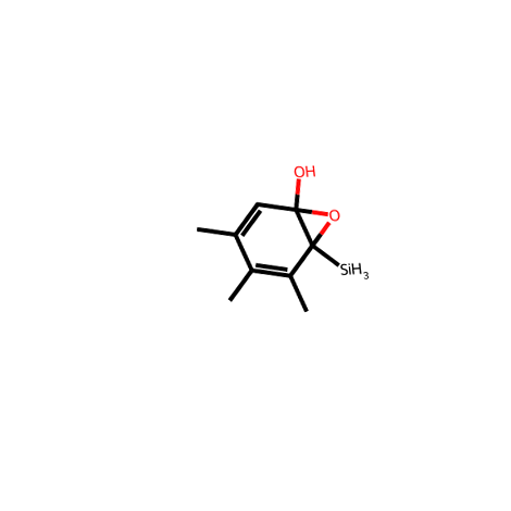 CC1=CC2(O)OC2([SiH3])C(C)=C1C